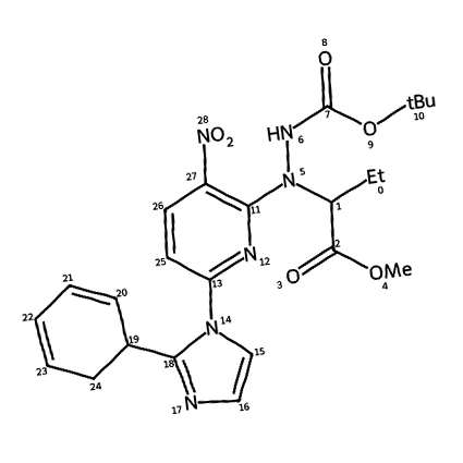 CCC(C(=O)OC)N(NC(=O)OC(C)(C)C)c1nc(-n2ccnc2C2C=CC=CC2)ccc1[N+](=O)[O-]